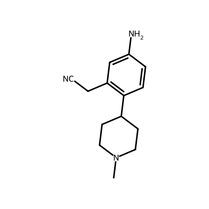 CN1CCC(c2ccc(N)cc2CC#N)CC1